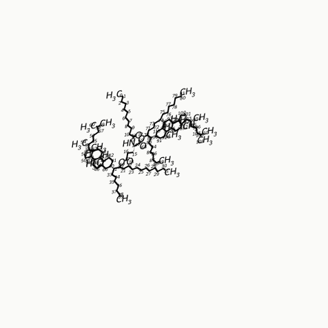 CCCCCCCCCCCC(=O)N[C@@H](CCC(=O)OC(CCCCCCCCCCC)C(CCCCCCC)[C@H]1CC[C@@]2(C)C(=CC[C@H]3[C@@H]4CC[C@H]([C@H](C)CCCC(C)C)[C@@]4(C)CC[C@@H]32)C1)C(=O)OC(CCCCCCCCCCC)C(CCCCCCC)[C@H]1CC[C@@]2(C)C(=CC[C@H]3[C@@H]4CC[C@H]([C@H](C)CCCC(C)C)[C@@]4(C)CC[C@@H]32)C1